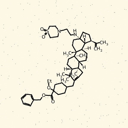 C=C(C)[C@@H]1CC[C@]2(NCCN3CCS(=O)(=O)CC3)CC[C@]3(C)[C@H](CC[C@@H]4[C@@]5(C)CC=C(CC6CCC(OCC)(C(=O)OCc7ccccc7)CC6)C(C)(C)[C@@H]5CC[C@]43C)[C@@H]12